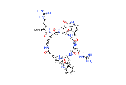 CC(=O)N[C@@H](CCCNC(=N)N)C(=O)N[C@H]1CCCNC(=O)CC[C@@H](C(=O)O)NC(=O)[C@H](Cc2c[nH]c3ccccc23)NC(O)[C@H](CCCNC(=N)N)NC(=O)[C@@H](Cc2ccccc2)NC(=O)[C@H](CCC(N)=O)NC1=O